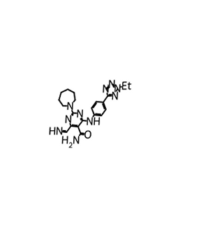 CCn1nnc(-c2ccc(Nc3nc(N4CCCCCC4)nc(C=N)c3C(N)=O)cc2)n1